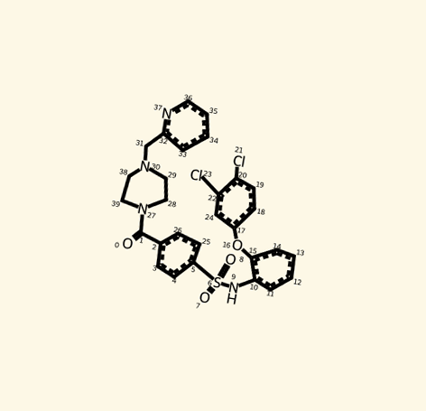 O=C(c1ccc(S(=O)(=O)Nc2ccccc2Oc2ccc(Cl)c(Cl)c2)cc1)N1CCN(Cc2ccccn2)CC1